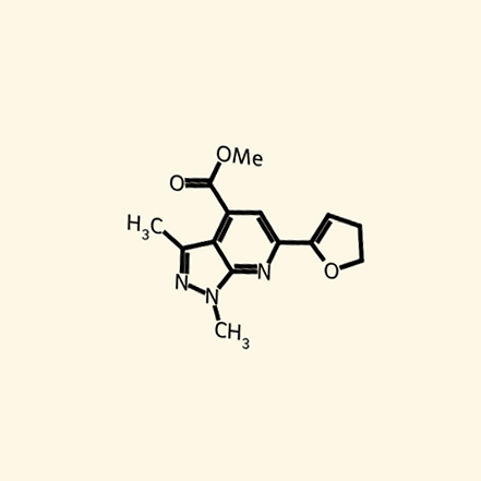 COC(=O)c1cc(C2=CCCO2)nc2c1c(C)nn2C